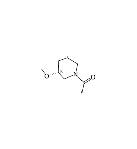 CO[C@@H]1C[CH]CN(C(C)=O)C1